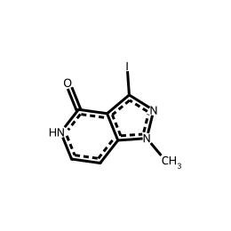 Cn1nc(I)c2c(=O)[nH]ccc21